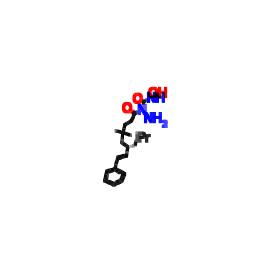 CC(C)C[C@H](C=Cc1ccccc1)CC(C)(C)CCC(=O)N(N)C(=O)NO